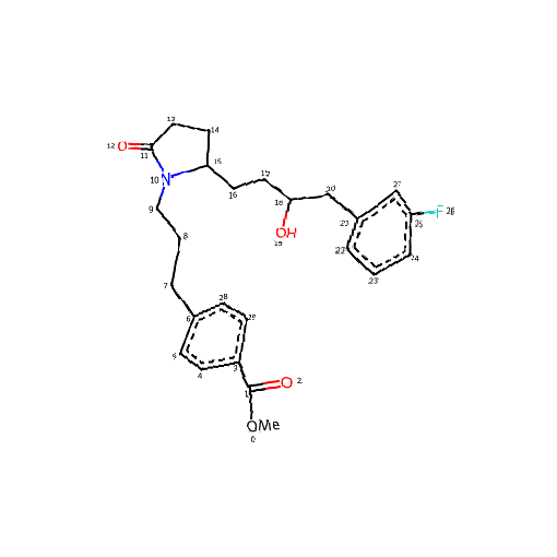 COC(=O)c1ccc(CCCN2C(=O)CCC2CCC(O)Cc2cccc(F)c2)cc1